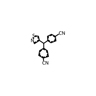 N#Cc1ccc(C(c2ccc(C#N)cc2)c2cnsc2)cc1